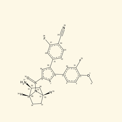 COc1ccc(-c2sc(C(=O)N3[C@H]4CC[C@@H]3[C@@H](N)C4)cc2-c2ccc(C#N)c(F)c2)cc1F